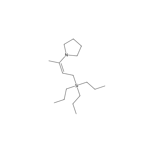 CCC[Si](C/C=C(/C)N1CCCC1)(CCC)CCC